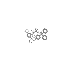 COC(=O)c1ccc(OC)c2nc(C3(COC(c4ccccc4)(c4ccccc4)c4ccccc4)CC3)nn12